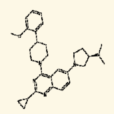 COc1ccccc1C1CCN(c2nc(C3CC3)nc3ccc(N4CC[C@@H](N(C)C)C4)cc23)CC1